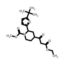 CCOC(=O)CC(=O)C1CCN(C(=O)OC)C(c2ccc(C(C)(C)C)s2)C1